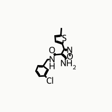 Cc1ccc(-c2noc(N)c2C(=O)NCc2cccc(Cl)c2)s1